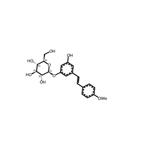 COc1ccc(C=Cc2cc(O)cc(O[C@@H]3O[C@H](CO)[C@@H](O)[C@H](O)[C@H]3O)c2)cc1